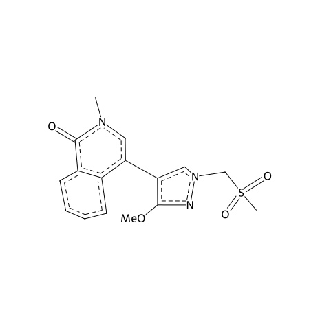 COc1nn(CS(C)(=O)=O)cc1-c1cn(C)c(=O)c2ccccc12